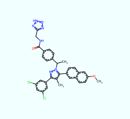 COc1ccc2cc(-c3c(C)c(-c4cc(Cl)cc(Cl)c4)nn3C(C)c3ccc(C(=O)NCc4nn[nH]n4)cc3)ccc2c1